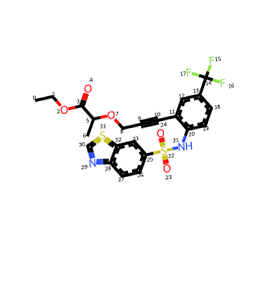 CCOC(=O)C(C)OCC#Cc1cc(C(F)(F)F)ccc1NS(=O)(=O)c1ccc2ncsc2c1